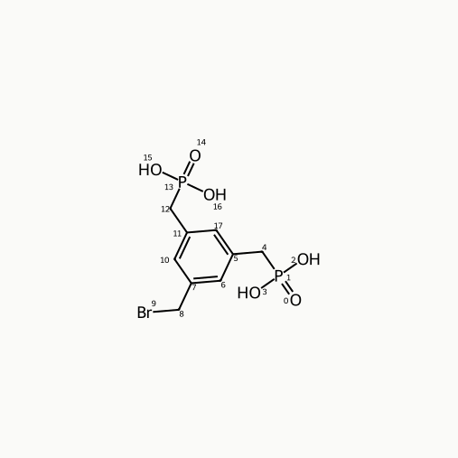 O=P(O)(O)Cc1cc(CBr)cc(CP(=O)(O)O)c1